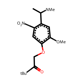 CNC(C)c1cc(OC)c(OCC(=O)C(C)(C)C)cc1[N+](=O)[O-]